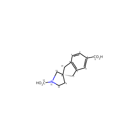 O=C(O)c1ccc2c(c1)C[C@@]1(CCN(C(=O)O)C1)C2